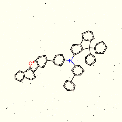 c1ccc(-c2cccc(N(c3ccc(-c4ccc5oc6c7ccccc7ccc6c5c4)cc3)c3ccc4c(c3)C(c3ccccc3)(c3ccccc3)c3ccccc3-4)c2)cc1